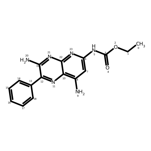 CCOC(=O)Nc1cc(N)c2nc(-c3ccccc3)c(N)nc2n1